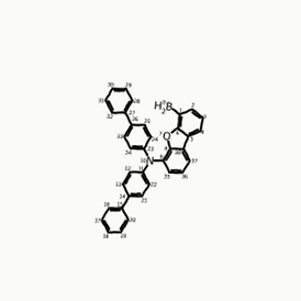 Bc1cccc2c1oc1c(N(c3ccc(-c4ccccc4)cc3)c3ccc(-c4ccccc4)cc3)cccc12